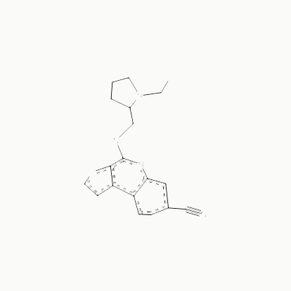 CCN1CCCC1CNc1nc2cc(C#N)ccc2c2ccsc12